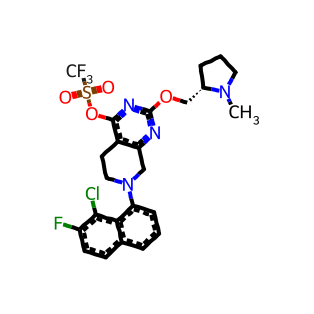 CN1CCC[C@H]1COc1nc2c(c(OS(=O)(=O)C(F)(F)F)n1)CCN(c1cccc3ccc(F)c(Cl)c13)C2